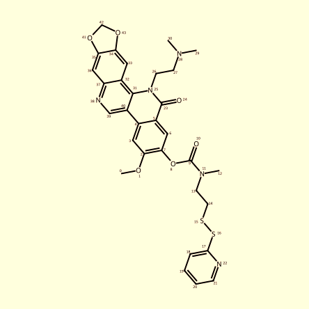 COc1cc2c(cc1OC(=O)N(C)CCSSc1ccccn1)c(=O)n(CCN(C)C)c1c3cc4c(cc3ncc21)OCO4